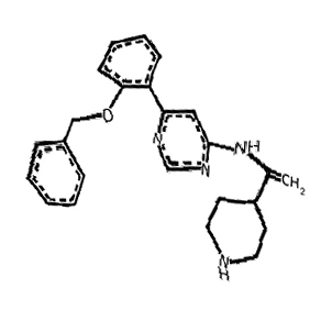 C=C(Nc1cc(-c2ccccc2OCc2ccccc2)ncn1)C1CCNCC1